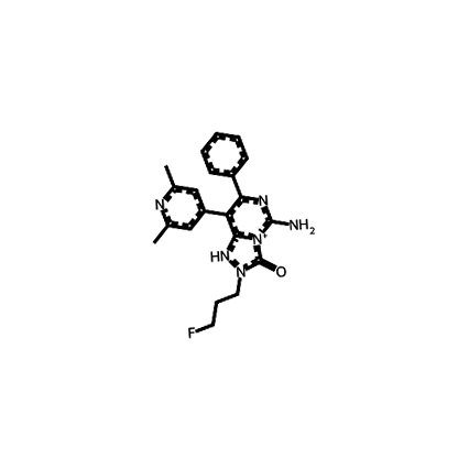 Cc1cc(-c2c(-c3ccccc3)nc(N)[n+]3c(=O)n(CCCF)[nH]c23)cc(C)n1